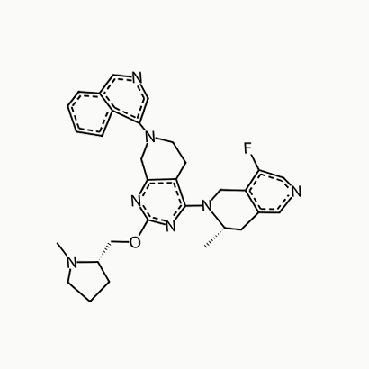 C[C@H]1Cc2cncc(F)c2CN1c1nc(OC[C@@H]2CCCN2C)nc2c1CCN(c1cncc3ccccc13)C2